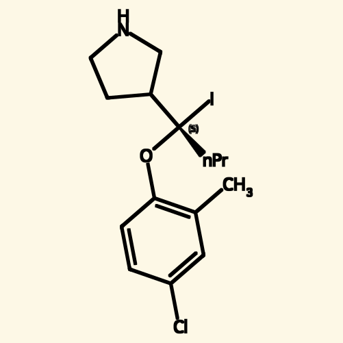 CCC[C@@](I)(Oc1ccc(Cl)cc1C)C1CCNC1